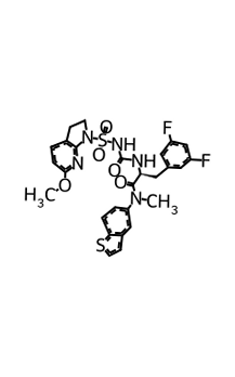 COc1ccc2c(n1)N(S(=O)(=O)NC(=O)N[C@@H](Cc1cc(F)cc(F)c1)C(=O)N(C)c1ccc3sccc3c1)CC2